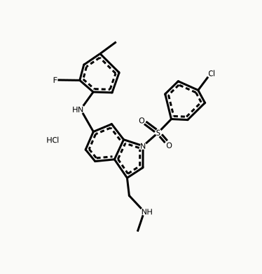 CNCc1cn(S(=O)(=O)c2ccc(Cl)cc2)c2cc(Nc3ccc(C)cc3F)ccc12.Cl